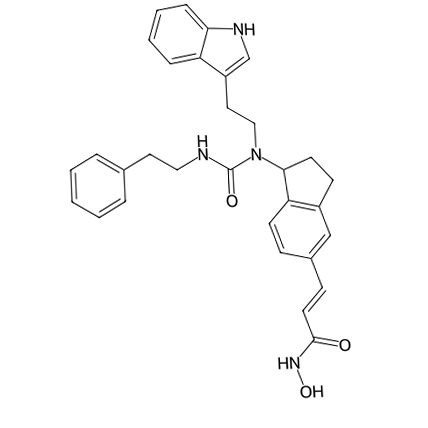 O=C(C=Cc1ccc2c(c1)CCC2N(CCc1c[nH]c2ccccc12)C(=O)NCCc1ccccc1)NO